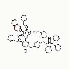 Cc1cc(OCc2ccccc2)c([C@@H]2O[C@H](COCc3ccccc3)[C@@H](OCc3ccccc3)[C@H](OCc3ccccc3)[C@H]2OCc2ccccc2)cc1Cc1ccc(CCNC(c2ccccc2)(c2ccccc2)c2ccccc2)cc1